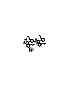 C=CCc1ccccc1C(C[PH]([O-])([O-])[O-])c1ccccc1CC=C.C=CCc1ccccc1C(C[PH]([O-])([O-])[O-])c1ccccc1CC=C.[Pt+2].[Pt+2].[Pt+2]